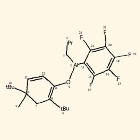 CC(C)[CH2][Al]([O]C1=C(C(C)(C)C)CC(C)(C(C)(C)C)C=C1)[c]1c(F)c(F)c(F)c(F)c1F